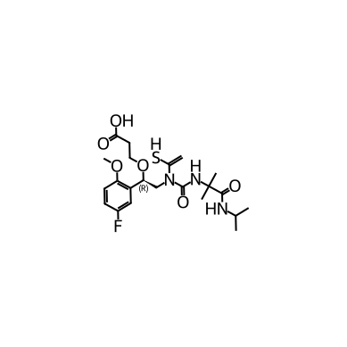 C=C(S)N(C[C@H](OCCC(=O)O)c1cc(F)ccc1OC)C(=O)NC(C)(C)C(=O)NC(C)C